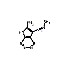 B/N=B\c1c(B)[nH]c2bbnbc12